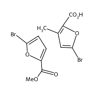 COC(=O)c1ccc(Br)o1.Cc1cc(Br)oc1C(=O)O